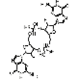 Nc1nc2c(ncn2C2OC3CO[PH](O)(S)OC4C(CO[PH](O)(S)OC3C2F)OC(n2cnc3c(=O)[nH]c(N)nc32)C4F)c(=O)[nH]1